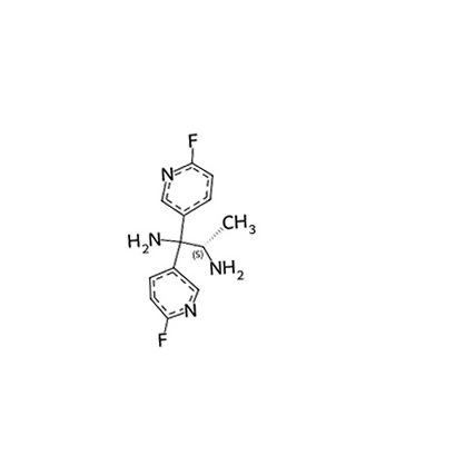 C[C@H](N)C(N)(c1ccc(F)nc1)c1ccc(F)nc1